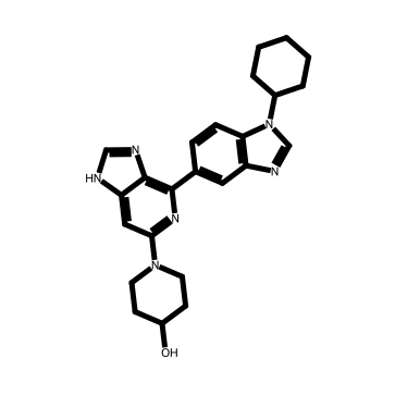 OC1CCN(c2cc3[nH]cnc3c(-c3ccc4c(c3)ncn4C3CCCCC3)n2)CC1